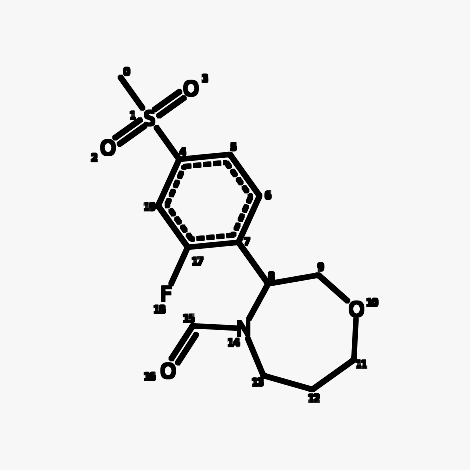 CS(=O)(=O)c1ccc(C2COCCCN2C=O)c(F)c1